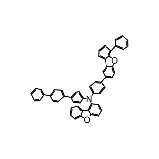 c1ccc(-c2ccc(-c3ccc(N(c4ccc(-c5ccc6oc7c(-c8ccccc8)cccc7c6c5)cc4)c4cccc5oc6ccccc6c45)cc3)cc2)cc1